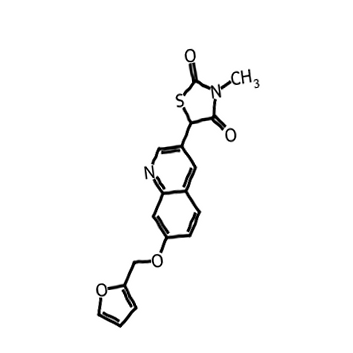 CN1C(=O)SC(c2cnc3cc(OCc4ccco4)ccc3c2)C1=O